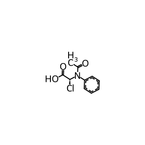 CC(=O)N(c1ccccc1)[C@@H](Cl)C(=O)O